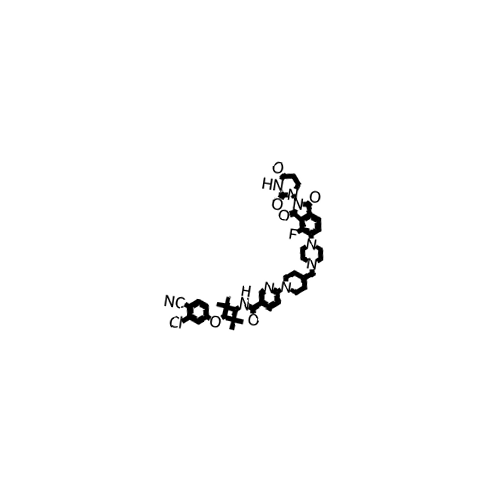 CC1(C)C(NC(=O)c2ccc(N3CCC(CN4CCN(c5ccc6c(c5F)C(=O)N(N5CCC(=O)NC5=O)C6=O)CC4)CC3)nc2)C(C)(C)C1Oc1ccc(C#N)c(Cl)c1